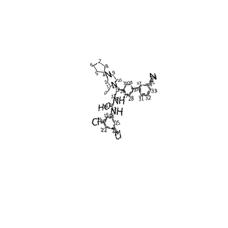 C[C@H]1CN(C2CCCC2)CCN1[C@H](CNC(O)Nc1cc(Cl)cc(Cl)c1)c1ccc(-c2cccc(C#N)c2)cc1